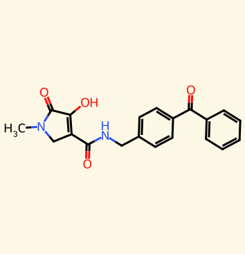 CN1CC(C(=O)NCc2ccc(C(=O)c3ccccc3)cc2)=C(O)C1=O